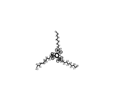 CCCCCCCCCCS(=O)(=O)c1cc(S(=O)(=O)CCCCCCCCCC)cc(S(=O)(=O)CCCCCCCCCC)c1